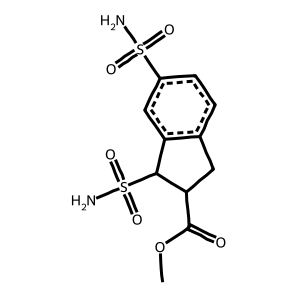 COC(=O)C1Cc2ccc(S(N)(=O)=O)cc2C1S(N)(=O)=O